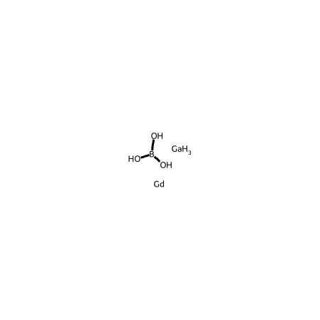 OB(O)O.[GaH3].[Gd]